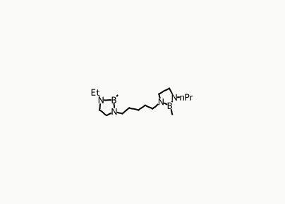 CCCN1CCN(CCCCCN2CCN(CC)B2C)B1C